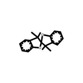 CC1(C)c2ccccc2OC12Oc1ccccc1C2(C)C